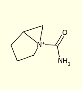 NC(=O)[N+]12CCCC1C2